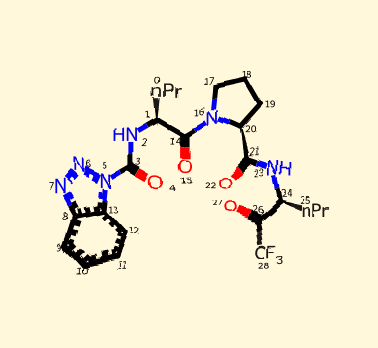 CCC[C@H](NC(=O)n1nnc2c[c]ccc21)C(=O)N1CCC[C@H]1C(=O)N[C@@H](CCC)C(=O)C(F)(F)F